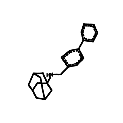 c1ccc(-c2ccc(CNC34CC5CC(CC(C5)C3)C4)cc2)cc1